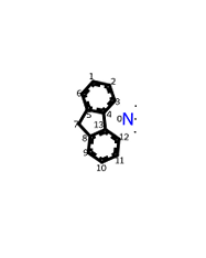 [N].c1ccc2c(c1)Cc1ccccc1-2